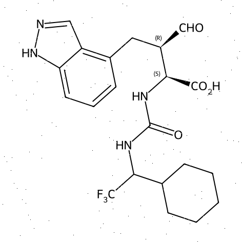 O=C[C@H](Cc1cccc2[nH]ncc12)[C@H](NC(=O)NC(C1CCCCC1)C(F)(F)F)C(=O)O